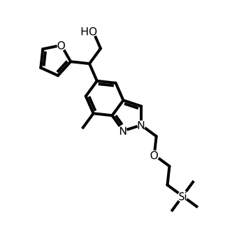 Cc1cc(C(CO)c2ccco2)cc2cn(COCC[Si](C)(C)C)nc12